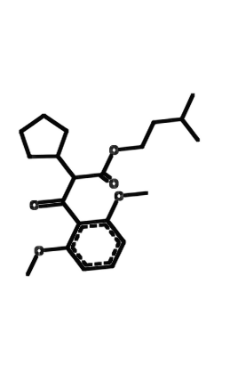 COc1cccc(OC)c1C(=O)C(C(=O)OCCC(C)C)C1CCCC1